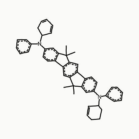 CC1(C)c2cc(N(c3ccccc3)C3C=CC=CC3)ccc2-c2cc3c(cc21)-c1ccc(N(c2ccccc2)C2C=CCCC2)cc1C3(C)C